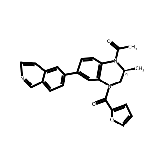 CC(=O)N1c2ccc(-c3ccc4cnccc4c3)cc2N(C(=O)c2ccco2)C[C@@H]1C